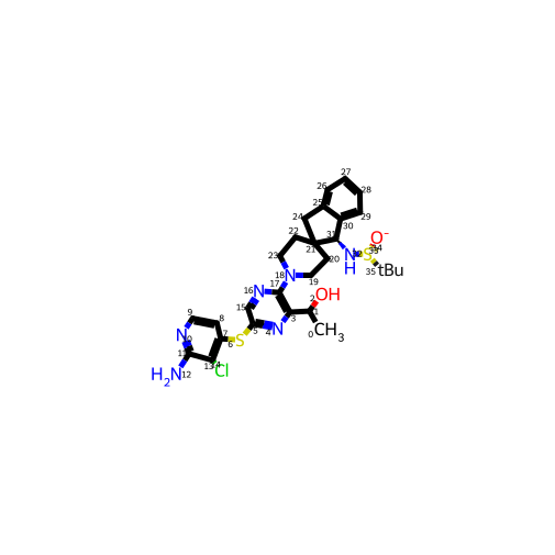 CC(O)c1nc(Sc2ccnc(N)c2Cl)cnc1N1CCC2(CC1)Cc1ccccc1[C@H]2N[S+]([O-])C(C)(C)C